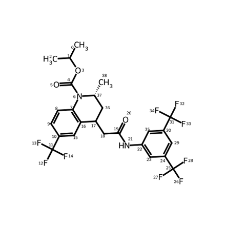 CC(C)OC(=O)N1c2ccc(C(F)(F)F)cc2C(CC(=O)Nc2cc(C(F)(F)F)cc(C(F)(F)F)c2)C[C@H]1C